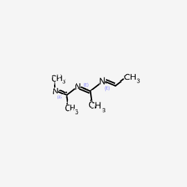 C/C=N/C(C)=N/C(C)=N\C